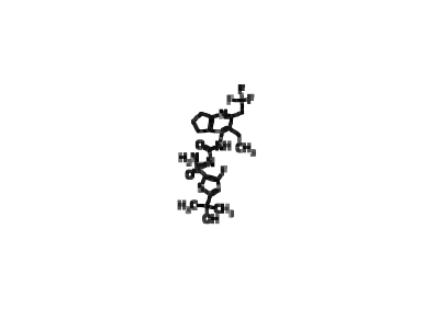 CCc1c(CC(F)(F)F)nc2c(c1NC(=O)N=[S@@](N)(=O)c1sc(C(C)(C)O)cc1F)CCC2